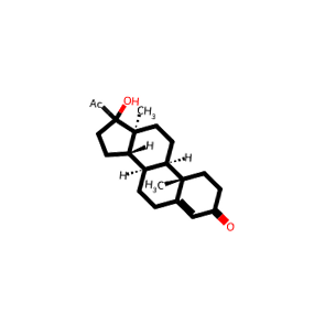 CC(=O)C1(O)CC[C@H]2[C@@H]3CCC4=CC(=O)CC[C@@]4(C)[C@@H]3CC[C@@]21C